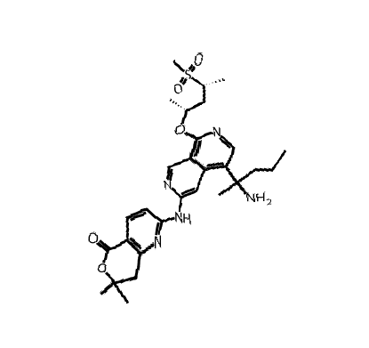 CCCC(C)(N)c1cnc(O[C@H](C)C[C@@H](C)S(C)(=O)=O)c2cnc(Nc3ccc4c(n3)CC(C)(C)OC4=O)cc12